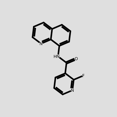 O=C(Nc1cccc2cccnc12)c1cccnc1F